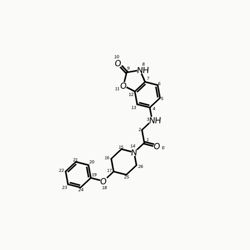 O=C(CNc1ccc2[nH]c(=O)oc2c1)N1CCC(Oc2ccccc2)CC1